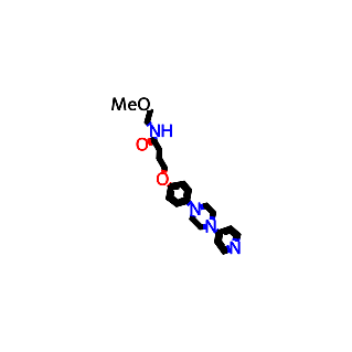 COCCNC(=O)CCCOc1ccc(N2CCN(c3ccncc3)CC2)cc1